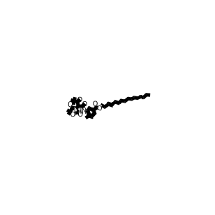 CCCCCCCCCCCCCCCCOC(=O)c1ccc(C)c(NC(=O)C(C(=O)C(C)(C)C)N2C(=O)OC(C)(C)C2=O)c1